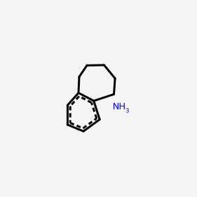 N.c1ccc2c(c1)CCCCC2